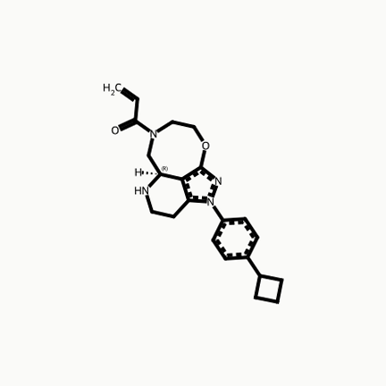 C=CC(=O)N1CCOc2nn(-c3ccc(C4CCC4)cc3)c3c2[C@H](C1)NCC3